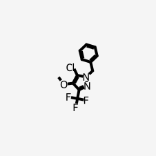 COc1c(C(F)(F)F)nn(Cc2ccccc2)c1Cl